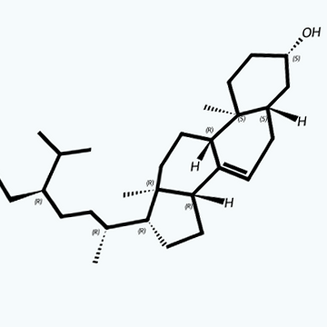 CC[C@H](CC[C@@H](C)[C@H]1CC[C@H]2C3=CC[C@H]4C[C@@H](O)CC[C@]4(C)[C@H]3CC[C@]12C)C(C)C